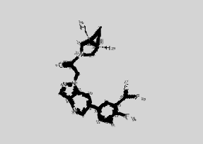 O=C(Cn1ncc2ncc(-c3ccc(F)c(C(F)F)c3)cc21)N1C[C@H]2C[C@H]2C1